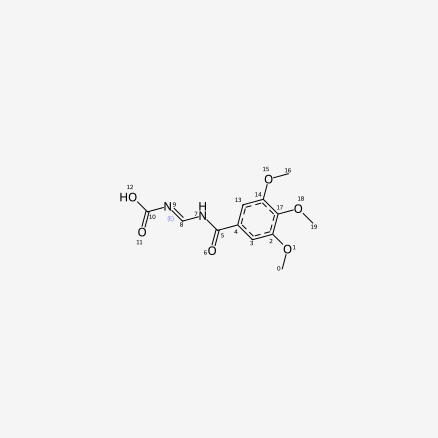 COc1cc(C(=O)N/C=N/C(=O)O)cc(OC)c1OC